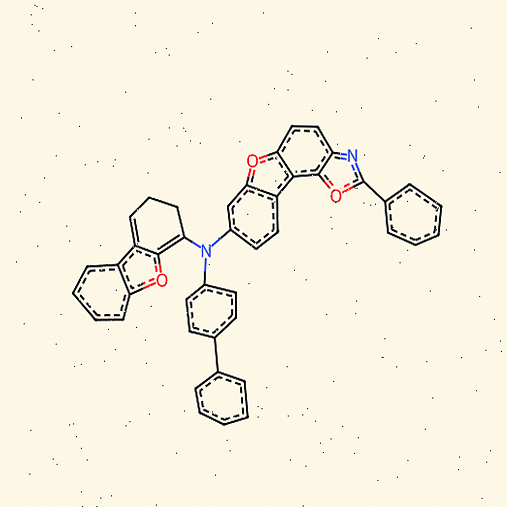 C1=c2c(oc3ccccc23)=C(N(c2ccc(-c3ccccc3)cc2)c2ccc3c(c2)oc2ccc4nc(-c5ccccc5)oc4c23)CC1